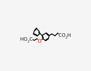 O=C(O)CCCc1ccc(OCCC(=O)O)c(-c2ccccc2)c1